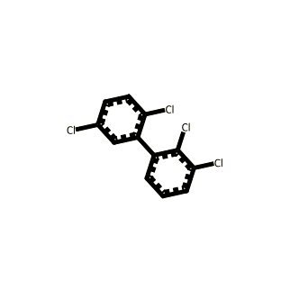 Clc1c[c]c(Cl)c(-c2cccc(Cl)c2Cl)c1